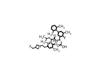 Cc1cc(-c2c(C)cccc2C)cc([C@H](CC(=O)O)NC(=O)[C@H](CC(C)C)n2nc(CCN3CC(CF)C3)cc(C)c2=O)c1F